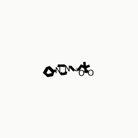 CC1(C)C[C@@H](CCN2CCN(c3ccccc3)CC2)OC1=O